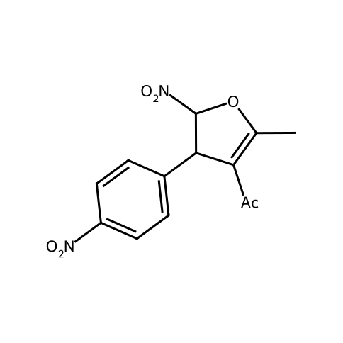 CC(=O)C1=C(C)OC([N+](=O)[O-])C1c1ccc([N+](=O)[O-])cc1